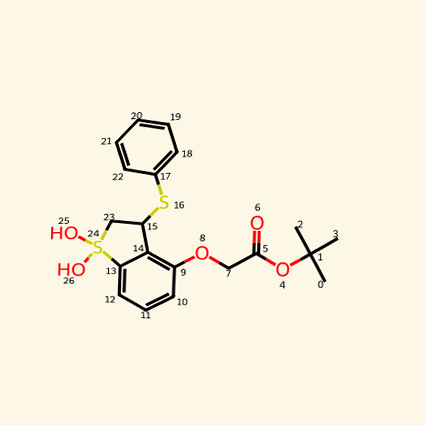 CC(C)(C)OC(=O)COc1cccc2c1C(Sc1ccccc1)CS2(O)O